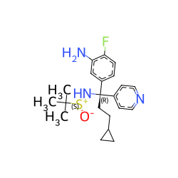 CC(C)(C)[S@@+]([O-])N[C@@](CCC1CC1)(c1ccncc1)c1ccc(F)c(N)c1